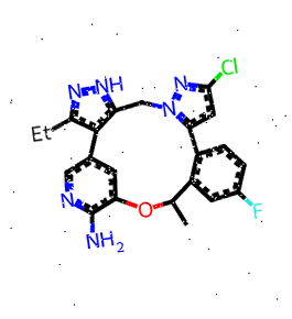 CCc1n[nH]c2c1-c1cnc(N)c(c1)OC(C)c1cc(F)ccc1-c1cc(Cl)nn1C2